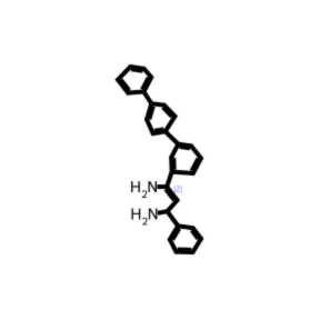 N/C(=C\C(N)c1ccccc1)c1cccc(-c2ccc(-c3ccccc3)cc2)c1